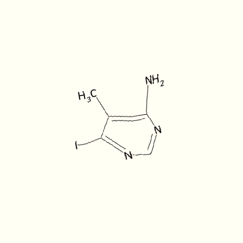 Cc1c(N)ncnc1I